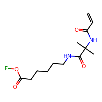 C=CC(=O)NC(C)(C)C(=O)NCCCCCC(=O)OF